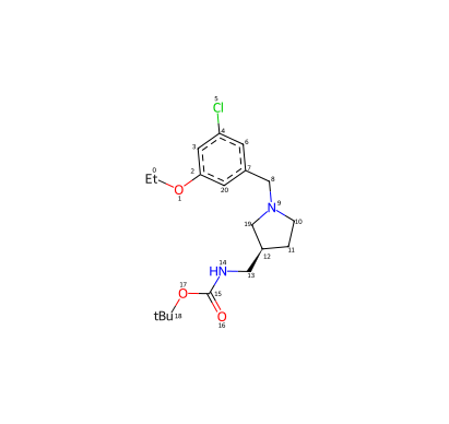 CCOc1cc(Cl)cc(CN2CC[C@@H](CNC(=O)OC(C)(C)C)C2)c1